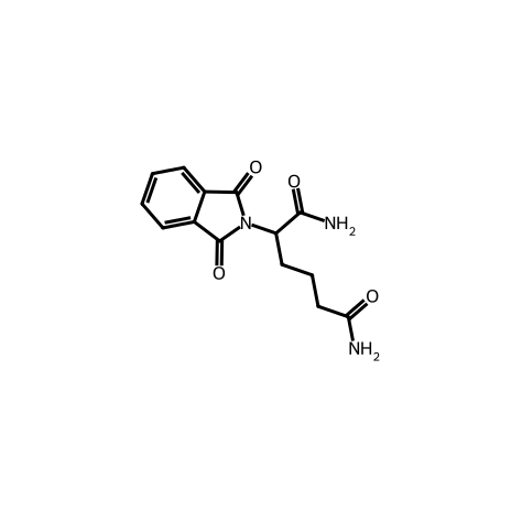 NC(=O)CCCC(C(N)=O)N1C(=O)c2ccccc2C1=O